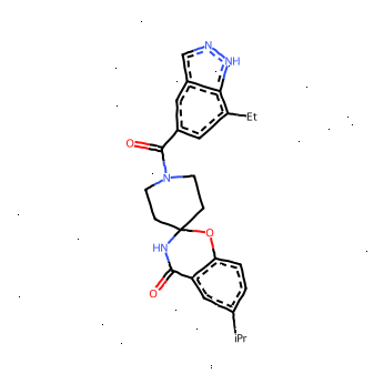 CCc1cc(C(=O)N2CCC3(CC2)NC(=O)c2cc(C(C)C)ccc2O3)cc2cn[nH]c12